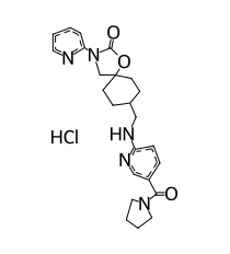 Cl.O=C(c1ccc(NCC2CCC3(CC2)CN(c2ccccn2)C(=O)O3)nc1)N1CCCC1